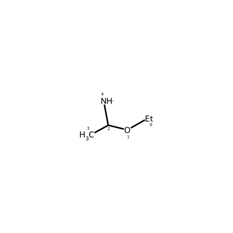 CCOC(C)[NH]